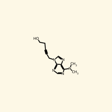 CN(C)c1ncnc2c1ncn2CC#CCCO